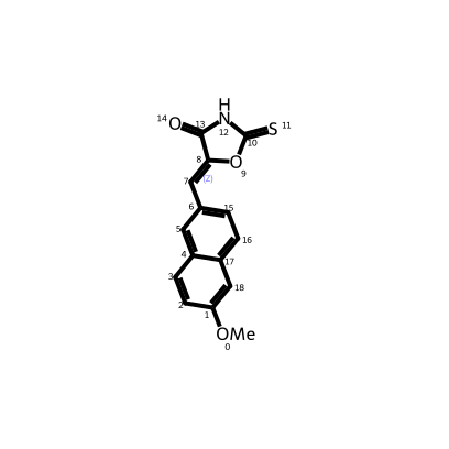 COc1ccc2cc(/C=C3\OC(=S)NC3=O)ccc2c1